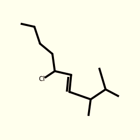 CCCCC(Cl)C=CC(C)C(C)C